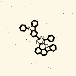 c1ccc(-c2nc(-c3ccc4c(c3)c3ccccc3n4-c3ccccc3)nc(-c3cccc4ccc5c6ccccc6oc5c34)n2)cc1